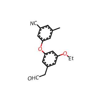 CCOc1cc(CC=O)cc(Oc2cc(C)cc(C#N)c2)c1